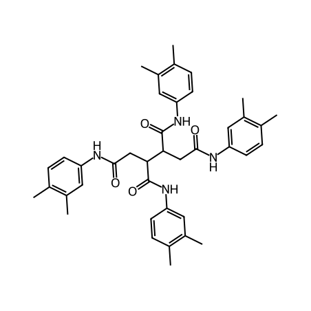 Cc1ccc(NC(=O)CC(C(=O)Nc2ccc(C)c(C)c2)C(CC(=O)Nc2ccc(C)c(C)c2)C(=O)Nc2ccc(C)c(C)c2)cc1C